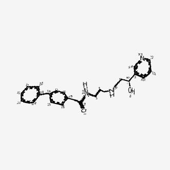 O=C(NCCNC[C@H](O)c1cccnc1)c1ccc(-c2ccccc2)cc1